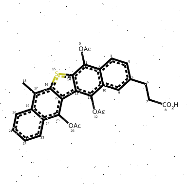 CC(=O)Oc1c2ccc(CCC(=O)O)cc2c(OC(C)=O)c2c1sc1c(C)c3ccccc3c(OC(C)=O)c12